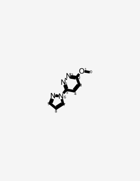 COc1ccc(-n2cccn2)nn1